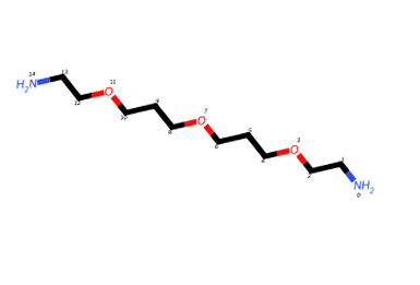 NCCOCCCOCCCOCCN